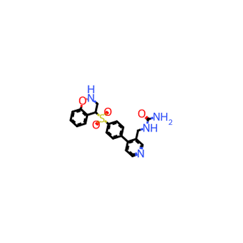 NC(=O)NCc1cnccc1-c1ccc(S(=O)(=O)C2CNOc3ccccc32)cc1